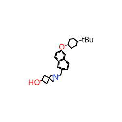 CC(C)(C)[C@H]1CC[C@H](Oc2ccc3cc(CN4CC5(CC(O)C5)C4)ccc3c2)CC1